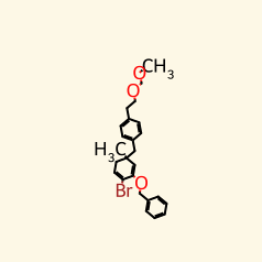 COCOCCc1ccc(CC2(C)C=C(OCc3ccccc3)C(Br)=CC2)cc1